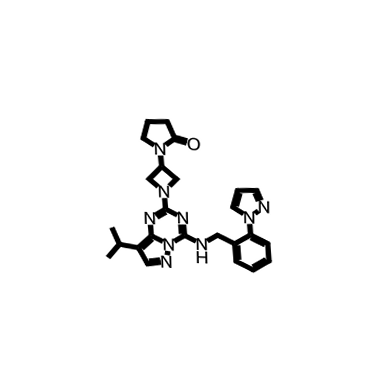 CC(C)c1cnn2c(NCc3ccccc3-n3cccn3)nc(N3CC(N4CCCC4=O)C3)nc12